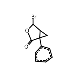 O=C1OC(Br)C2CC12c1ccccc1